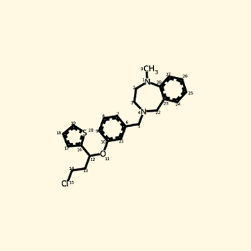 CN1CCN(Cc2cccc(OC(CCCl)c3cccs3)c2)Cc2ccccc21